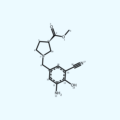 COC(=O)[C@@H]1CCN(Cc2cc(N)c(O)c(C#N)c2)C1